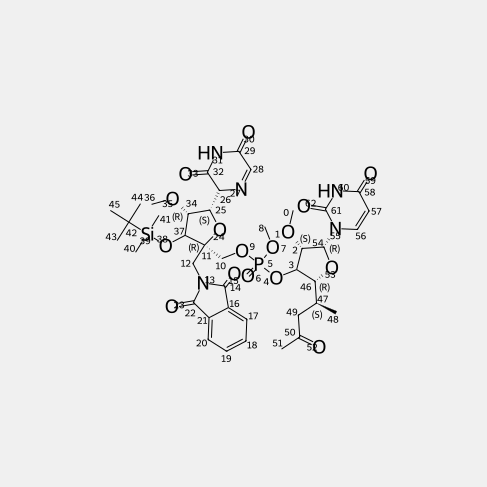 CO[C@H]1C(OP(=O)(OC)OC[C@@]2(CN3C(=O)c4ccccc4C3=O)O[C@@H](C3N=CC(=O)NC3=O)[C@@H](OC)C2O[Si](C)(C)C(C)(C)C)[C@@H]([C@@H](C)CC(C)=O)O[C@H]1n1ccc(=O)[nH]c1=O